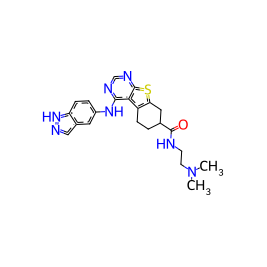 CN(C)CCNC(=O)C1CCc2c(sc3ncnc(Nc4ccc5[nH]ncc5c4)c23)C1